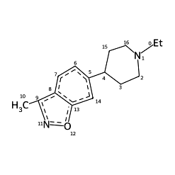 CCN1CCC(c2ccc3c(C)noc3c2)CC1